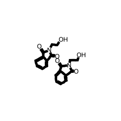 O=C1c2ccccc2C(=O)N1CCO.O=C1c2ccccc2C(=O)N1CCO